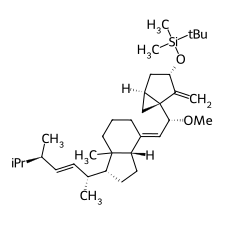 C=C1[C@@H](O[Si](C)(C)C(C)(C)C)C[C@@H]2C[C@]12[C@@H](/C=C1\CCCC2(C)[C@@H]([C@H](C)/C=C/[C@H](C)C(C)C)CC[C@@H]12)OC